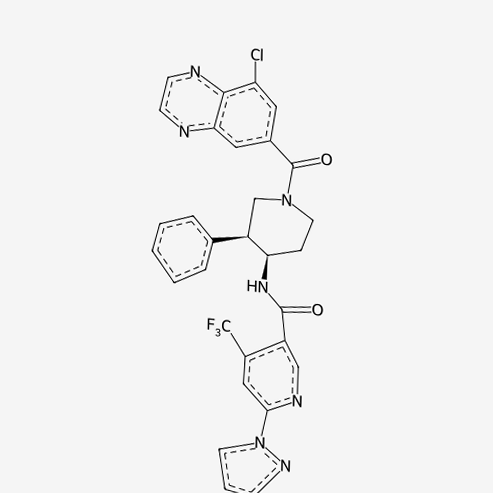 O=C(N[C@@H]1CCN(C(=O)c2cc(Cl)c3nccnc3c2)C[C@@H]1c1ccccc1)c1cnc(-n2cccn2)cc1C(F)(F)F